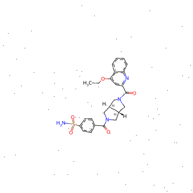 CCOc1cc(C(=O)N2C[C@@H]3CN(C(=O)c4ccc(S(N)(=O)=O)cc4)C[C@H]3C2)nc2ccccc12